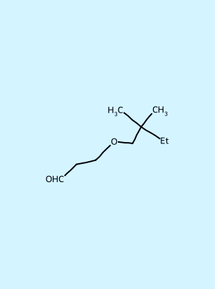 CCC(C)(C)COCCC=O